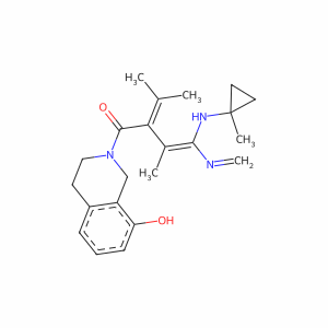 C=N/C(NC1(C)CC1)=C(\C)C(C(=O)N1CCc2cccc(O)c2C1)=C(C)C